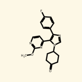 COc1nccc(-c2c(-c3ccc(F)cc3)ncn2C2CCC(=O)CC2)n1